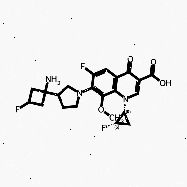 COc1c(N2CCC(C3(N)CC(F)C3)C2)c(F)cc2c(=O)c(C(=O)O)cn([C@@H]3C[C@@H]3F)c12